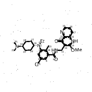 CCN(c1cc(Cl)cc(C(=O)NCc2c(OC)[nH]c3cccnc3c2=O)c1C)[C@H]1CC[C@H](N(C)C)CC1